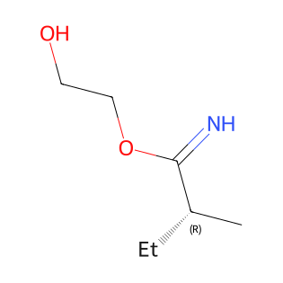 CC[C@@H](C)C(=N)OCCO